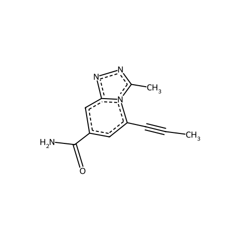 CC#Cc1cc(C(N)=O)cc2nnc(C)n12